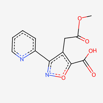 COC(=O)Cc1c(-c2ccccn2)noc1C(=O)O